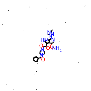 Cc1ncn(-c2ncc(ON)c3c(C(=O)C(=O)N4CCN(C(=O)c5ccccc5)CC4)c[nH]c23)n1